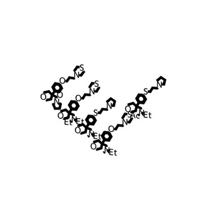 CCN(C)CC1(c2ccc(OCCCN3CCSCC3)cc2)CCOCC1.CCN(C)CC1(c2ccc(SCCCN3CCCC3)cc2)CCOCC1.CCN(CC)CC1(c2ccc(OCCCN3CCSCC3)cc2)CCOCC1.CCN(CC1(c2ccc(SCCCN3CCCC3)cc2)CCOCC1)C(C)=O.O=C(N1CCCC1)C1(c2ccc(OCCCN3CCSCC3)cc2)CCOCC1